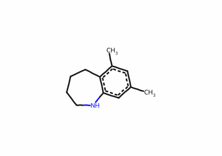 Cc1cc(C)c2c(c1)NCCCC2